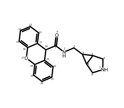 O=C(NCC1C2CNCC21)C1c2ccccc2Oc2ccccc21